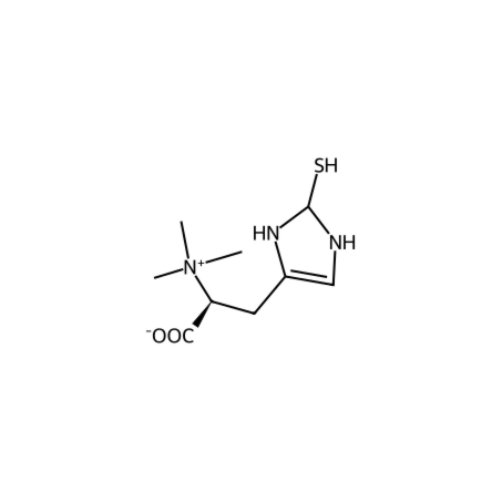 C[N+](C)(C)[C@@H](CC1=CNC(S)N1)C(=O)[O-]